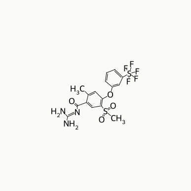 Cc1cc(Oc2cccc(S(F)(F)(F)(F)F)c2)c(S(C)(=O)=O)cc1C(=O)N=C(N)N